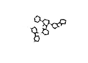 Cc1ccc2c(c1)c1cc(C)ccc1n2-c1cccc2c1sc1c(-c3ccccc3)ccc(-c3ccc4oc5ccccc5c4c3)c12